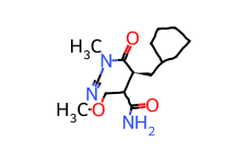 COCC(C(N)=O)[C@H](CC1CCCCC1)C(=O)N(C)C#N